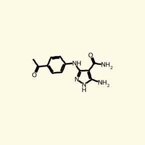 CC(=O)c1ccc(Nc2n[nH]c(N)c2C(N)=O)cc1